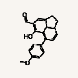 COc1ccc(-c2ccc3c4c(cc(C=O)c(O)c24)CC3)cc1